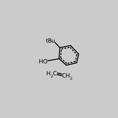 C=C.CC(C)(C)c1ccccc1O